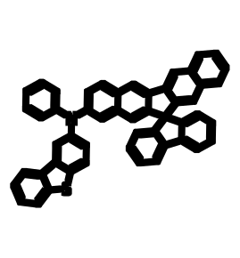 c1ccc(N(c2ccc3cc4c(cc3c2)C2(c3ccccc3-c3ccccc32)c2cc3ccccc3cc2-4)c2ccc3sc4ccccc4c3c2)cc1